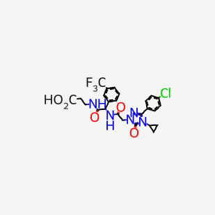 O=C(O)CCNC(=O)C(NC(=O)Cn1nc(-c2ccc(Cl)cc2)n(C2CC2)c1=O)c1cccc(C(F)(F)F)c1